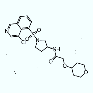 O=C(COC1CCOCC1)N[C@H]1CCN(S(=O)(=O)c2cccc3cncc(Cl)c23)C1